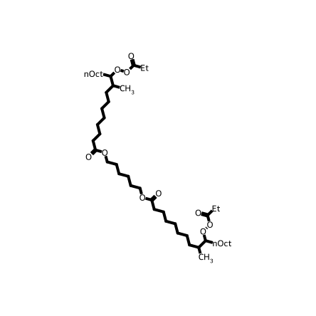 CCCCCCCCC(OOC(=O)CC)C(C)CCCCCCCC(=O)OCCCCCCOC(=O)CCCCCCCC(C)C(CCCCCCCC)OOC(=O)CC